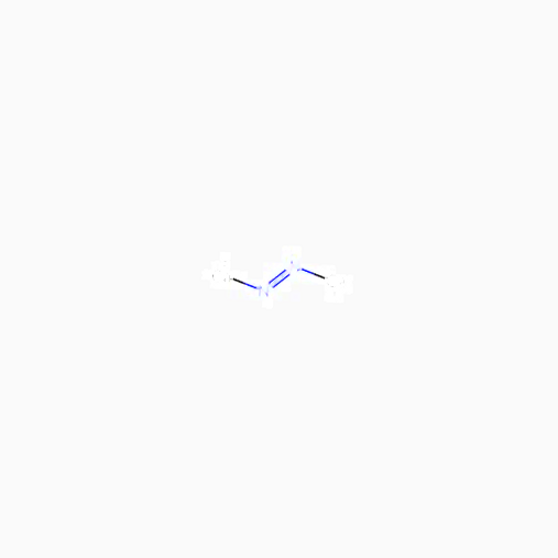 [Ca][N]=[N][Ca]